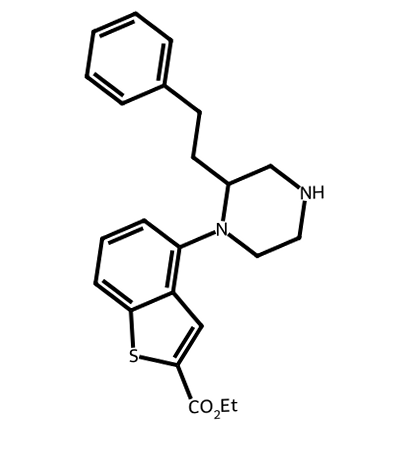 CCOC(=O)c1cc2c(N3CCNCC3CCc3ccccc3)cccc2s1